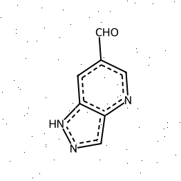 O=Cc1cnc2cn[nH]c2c1